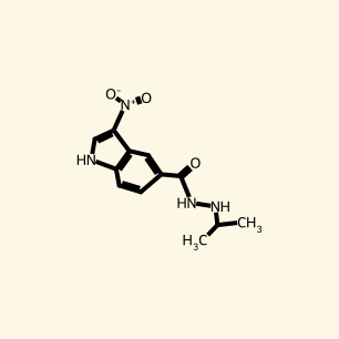 CC(C)NNC(=O)c1ccc2[nH]cc([N+](=O)[O-])c2c1